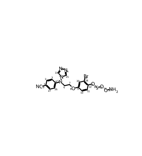 N#Cc1ccc(N(CCOc2ccc(OSOON)c(Br)c2)n2cnnc2)cc1